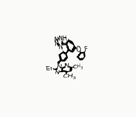 CCc1nc2c(C)cc(C)nc2n1Cc1ccc(-c2cc(Oc3ccccc3F)ccc2-c2nnn[nH]2)cc1